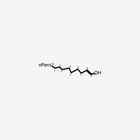 CCCCCCCCCCCC/C=C/O